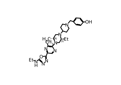 CCNc1nnc(-c2cnc(N3C[C@H](CC)N(C4CCN(Cc5ccc(O)cc5)CC4)C[C@H]3C)c(C)n2)o1